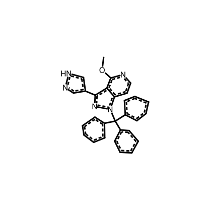 COc1nccc2c1c(-c1cn[nH]c1)nn2C(c1ccccc1)(c1ccccc1)c1ccccc1